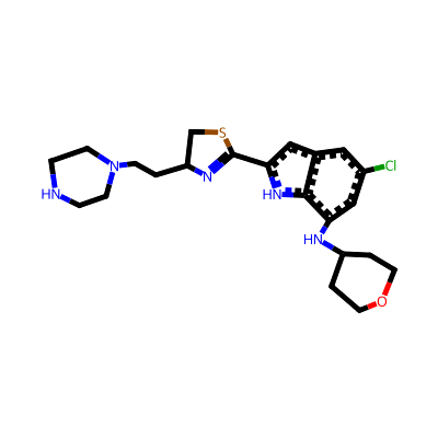 Clc1cc(NC2CCOCC2)c2[nH]c(C3=NC(CCN4CCNCC4)CS3)cc2c1